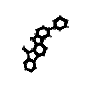 O=C1c2ccccc2-c2ccc3c([nH]c4ccc(-c5ccccc5)cc43)c21